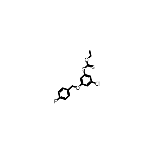 CCOC(=S)Sc1cc(Cl)cc(OCc2ccc(F)cc2)c1